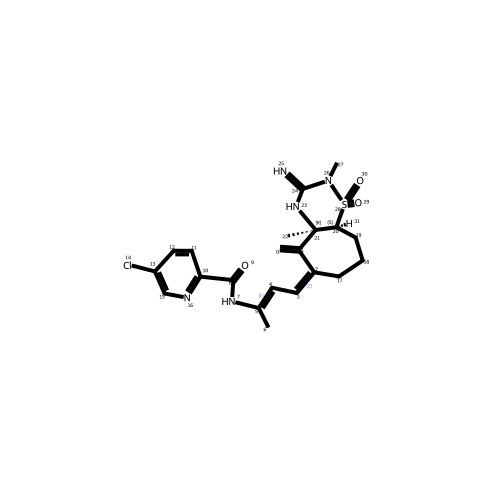 C=C1/C(=C\C=C(/C)NC(=O)c2ccc(Cl)cn2)CCC[C@H]2[C@]1(C)NC(=N)N(C)S2(=O)=O